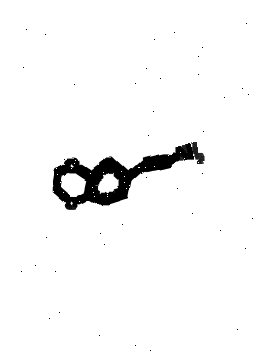 NC#Cc1ccc2c(c1)OCCO2